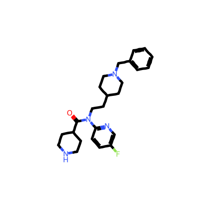 O=C(C1CCNCC1)N(CCC1CCN(Cc2ccccc2)CC1)c1ccc(F)cn1